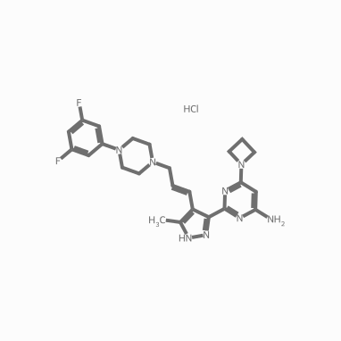 Cc1[nH]nc(-c2nc(N)cc(N3CCC3)n2)c1C=CCN1CCN(c2cc(F)cc(F)c2)CC1.Cl